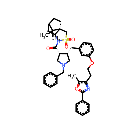 Cc1oc(-c2ccccc2)nc1CCOc1cccc(C[C@@H]2CN(Cc3ccccc3)C[C@@H]2C(=O)N2C3CC4CC[C@@]3(CS2(=O)=O)C4(C)C)c1